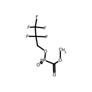 COC(=O)[PH](=O)OCC(F)(F)C(F)(F)F